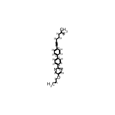 C=CCOc1cnc(-c2ccc(-c3ccc(C#CCCCC(C)F)cc3)cc2)nc1